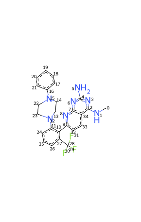 CNc1nc(N)nc2nc(-c3c(N4CCN(c5ccccc5)CC4)cccc3C(F)(F)F)ccc12